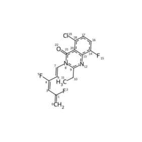 C=C(F)/C=C(F)\C=C\n1c(CC)nc2c(F)ccc(Cl)c2c1=O